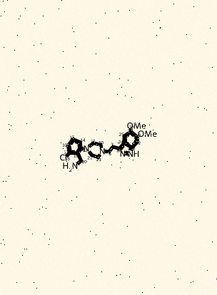 COc1cc2[nH]nc(CCN3CCN(c4cccc(Cl)c4CN)CC3)c2cc1OC